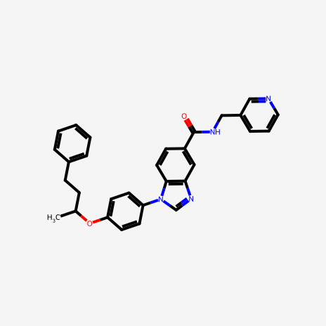 CC(CCc1ccccc1)Oc1ccc(-n2cnc3cc(C(=O)NCc4cccnc4)ccc32)cc1